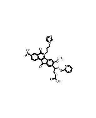 COc1cc2c(cc1C(COC(=O)O)SSc1ccccn1)C(=O)c1c-2n(CCCn2ccnc2)c(=O)c2cc([N+](=O)[O-])ccc12